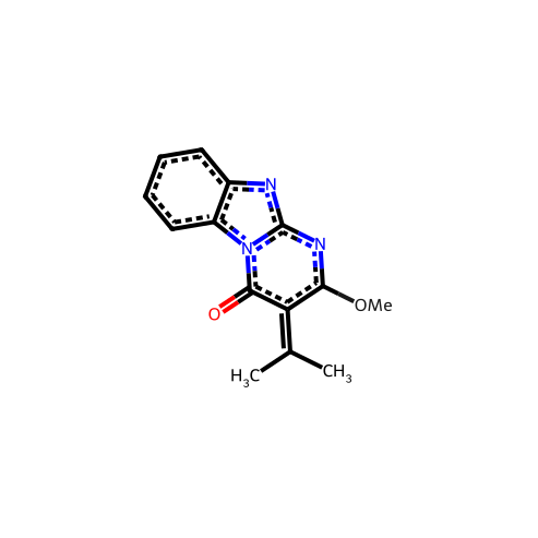 COc1nc2nc3ccccc3n2c(=O)c1=C(C)C